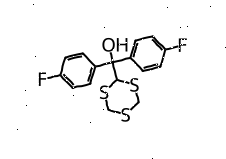 OC(c1ccc(F)cc1)(c1ccc(F)cc1)C1SCSCS1